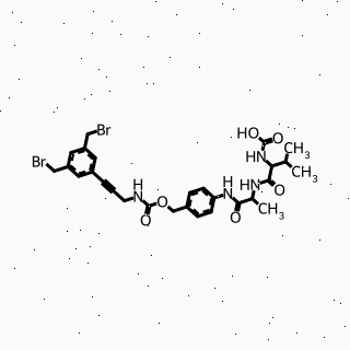 CC(NC(=O)C(NC(=O)O)C(C)C)C(=O)Nc1ccc(COC(=O)NCC#Cc2cc(CBr)cc(CBr)c2)cc1